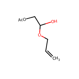 C=CCOC(O)COC(C)=O